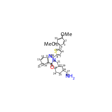 COc1ccc(-c2ccc(-c3nc4ccc(C)cc4c(=O)n3CC3CCCC(CN)C3)s2)c(OC)c1